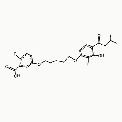 Cc1c(OCCCCCOc2ccc(F)c(C(=O)O)c2)ccc(C(=O)CC(C)C)c1O